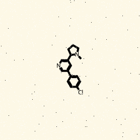 CN1CCCC1c1cncc(-c2ccc(Cl)cc2)c1